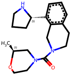 C[C@H]1CN(C(=O)N2CCc3cccc([C@@H]4CCCN4)c3C2)CCO1